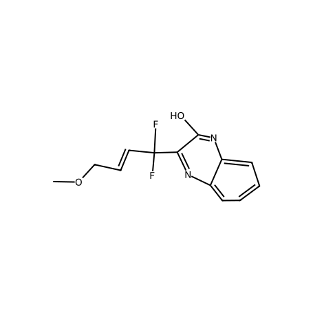 COC/C=C/C(F)(F)c1nc2ccccc2nc1O